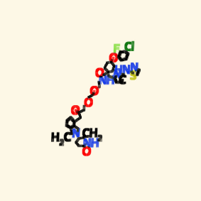 C=C1NC(=O)CCC1N1Cc2c(CC(=O)CCOCCOCCNC(=O)[C@]3(Cc4cccc(Nc5nccs5)n4)CC[C@@H](Oc4cccc(Cl)c4F)CC3)cccc2C1=C